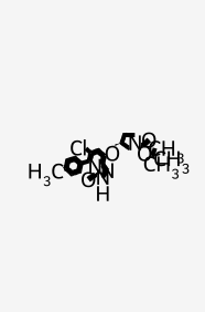 Cc1ccc(-c2c(Cl)cc(OC[C@@H]3CCN(C(=O)OC(C)(C)C)C3)c3n[nH]c(=O)n23)cc1